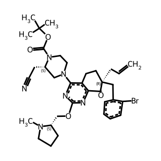 C=CC[C@@]1(Cc2ccccc2Br)CCc2c(nc(OC[C@@H]3CCCN3C)nc2N2CCN(C(=O)OC(C)(C)C)[C@@H](CC#N)C2)C1=O